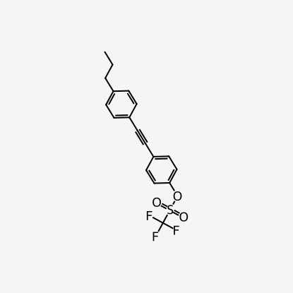 CCCc1ccc(C#Cc2ccc(OS(=O)(=O)C(F)(F)F)cc2)cc1